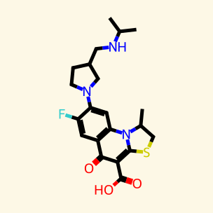 CC(C)NCC1CCN(c2cc3c(cc2F)c(=O)c(C(=O)O)c2n3C(C)CS2)C1